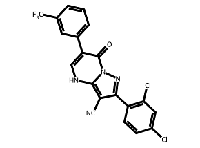 N#Cc1c(-c2ccc(Cl)cc2Cl)nn2c(=O)c(-c3cccc(C(F)(F)F)c3)c[nH]c12